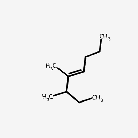 C[CH]C(C)C(C)=CCCC